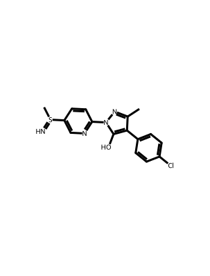 Cc1nn(-c2ccc(S(C)=N)cn2)c(O)c1-c1ccc(Cl)cc1